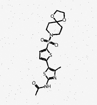 CC(=O)Nc1nc(C)c(-c2ccc(S(=O)(=O)N3CCC4(CC3)OCCO4)s2)s1